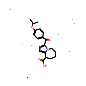 CC(C)Oc1ccc(C(=O)c2ccc3n2CCCCC3C(=O)O)cc1